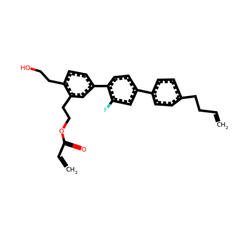 C=CCCc1ccc(-c2ccc(-c3ccc(CCO)c(CCOC(=O)C=C)c3)c(F)c2)cc1